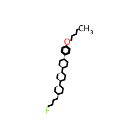 CCCCCOc1ccc([C@H]2CC[C@H]([C@H]3CC[C@H]([C@H]4CC[C@H](CCCCF)CC4)CC3)CC2)cc1